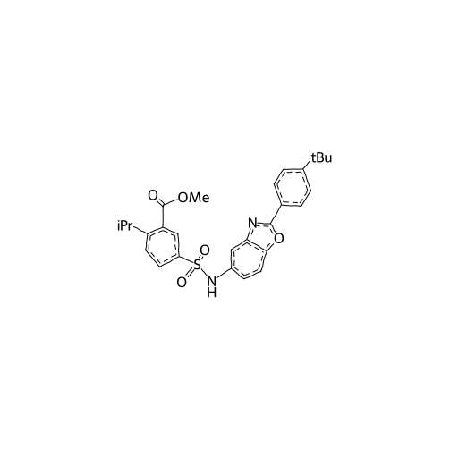 COC(=O)c1cc(S(=O)(=O)Nc2ccc3oc(-c4ccc(C(C)(C)C)cc4)nc3c2)ccc1C(C)C